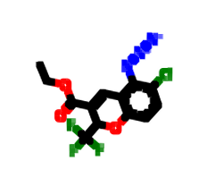 CCOC(=O)C1=Cc2c(ccc(Cl)c2N=[N+]=[N-])OC1C(F)(F)F